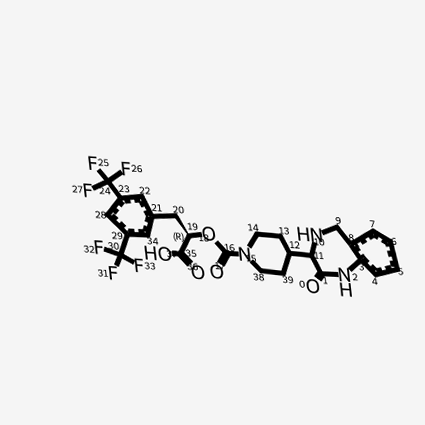 O=C1Nc2ccccc2CNC1C1CCN(C(=O)O[C@H](Cc2cc(C(F)(F)F)cc(C(F)(F)F)c2)C(=O)O)CC1